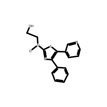 [O-][S+](CCO)c1nc(-c2ccccc2)c(-c2cccnc2)s1